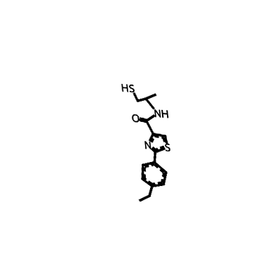 CCc1ccc(-c2nc(C(=O)NC(C)CS)cs2)cc1